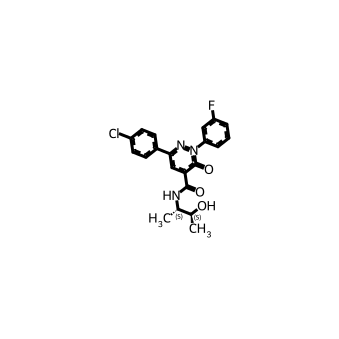 C[C@H](O)[C@H](C)NC(=O)c1cc(-c2ccc(Cl)cc2)nn(-c2cccc(F)c2)c1=O